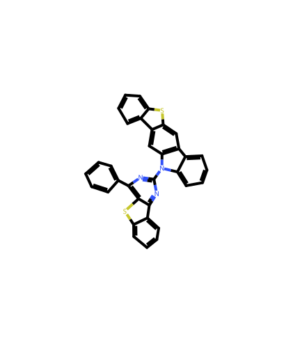 c1ccc(-c2nc(-n3c4ccccc4c4cc5sc6ccccc6c5cc43)nc3c2sc2ccccc23)cc1